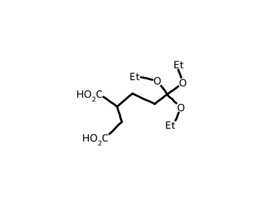 CCOC(CCC(CC(=O)O)C(=O)O)(OCC)OCC